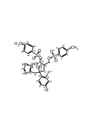 Cc1ccc(S(=O)(=O)OCC(CC(O)(Cc2nc[nH]n2)c2ccc(F)cc2F)[C@H](O)OS(=O)(=O)c2ccc(C)cc2)cc1